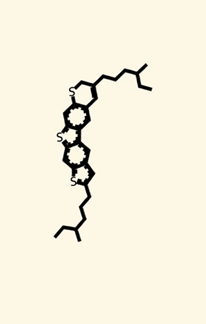 CCC(C)CCCC1=Cc2cc3c(cc2SC1)sc1cc2sc(CCCC(C)CC)cc2cc13